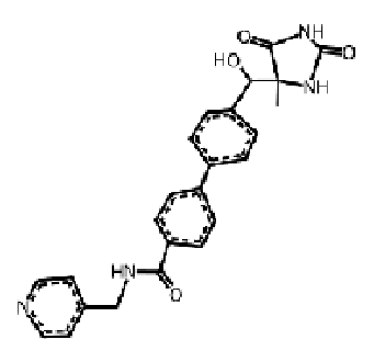 CC1(C(O)c2ccc(-c3ccc(C(=O)NCc4ccncc4)cc3)cc2)NC(=O)NC1=O